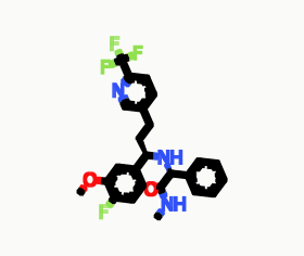 CNC(=O)[C@@H](N[C@H](CCc1ccc(C(F)(F)F)nc1)c1ccc(F)c(OC)c1)c1ccccc1